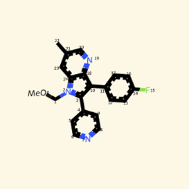 COCn1c(-c2ccncc2)c(-c2ccc(F)cc2)c2ncc(C)cc21